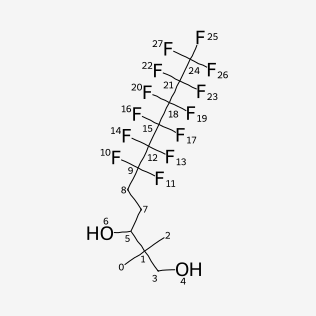 CC(C)(CO)C(O)CCC(F)(F)C(F)(F)C(F)(F)C(F)(F)C(F)(F)C(F)(F)F